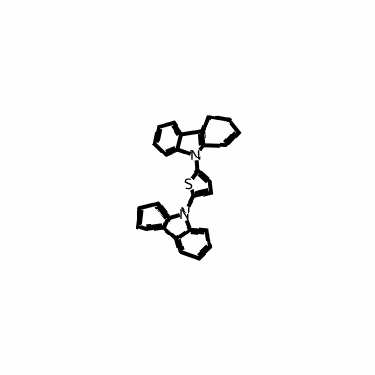 C1=Cc2c(c3ccccc3n2-c2ccc(-n3c4ccccc4c4ccccc43)s2)CC1